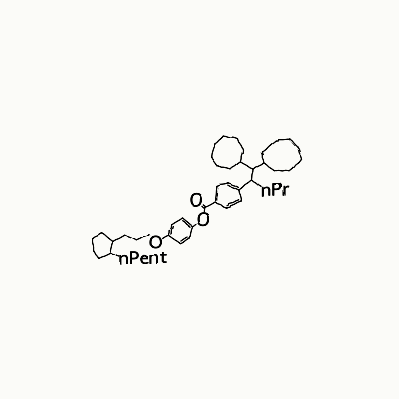 CCCCCC1CCCCC1CCCOc1ccc(OC(=O)c2ccc(C(CCC)C(C3CCCCCCC3)C3CCCCCCC3)cc2)cc1